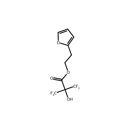 O=C(OCCc1ccco1)C(O)(C(F)(F)F)C(F)(F)F